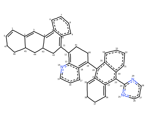 C1=CC2=CC3=c4ccccc4=C(C4=c5ncccc5=C(c5c6c(c(-c7ncccn7)c7ccccc57)=CCCC=6)CC4)CC3CC2CC1